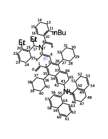 C=Cc1c(/C=C(\C)N(C(=C)C2=C(CCCC)CCC=C2)C(CC)C2=C(CC)C=CCC2)c(C2CCCCC2)c2c(c1C1CCCCC1)=CC(N(C1=CCCC3=C1CCC=C3)C1=CC=CC3C=CC=CC13)CC=2